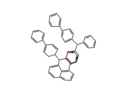 C1=CC(N(c2ccccc2)c2cccc3cccc(-c4ccc(N(c5ccccc5)c5ccc(-c6ccccc6)cc5)cc4)c23)CC=C1c1ccccc1